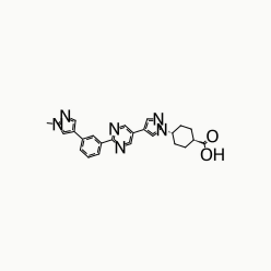 Cn1cc(-c2cccc(-c3ncc(-c4cnn([C@H]5CC[C@H](C(=O)O)CC5)c4)cn3)c2)cn1